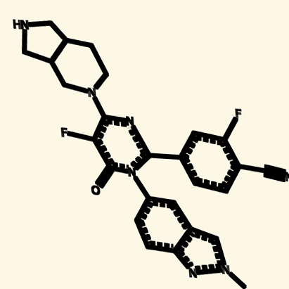 Cn1cc2cc(-n3c(-c4ccc(C#N)c(F)c4)nc(N4CCC5CNCC5C4)c(F)c3=O)ccc2n1